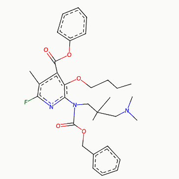 CCCCOc1c(N(CC(C)(C)CN(C)C)C(=O)OCc2ccccc2)nc(F)c(C)c1C(=O)Oc1ccccc1